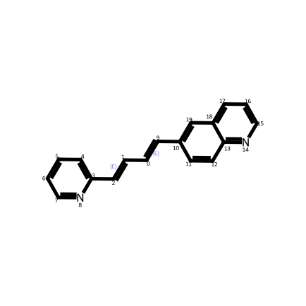 C(/C=C/c1ccccn1)=C\c1ccc2ncccc2c1